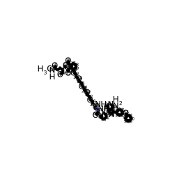 CNC(=O)CCC(C=O)N(C)C(=O)c1c(C=O)cccc1OCCOCCOCCOCCOCCN(N)/C=C(\N)C(=O)N1CCCC(n2nc(-c3ccc(Oc4ccccc4)cc3)c3c(N)ncnc32)C1